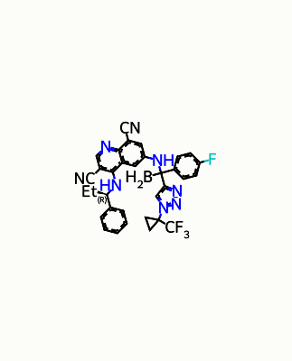 BC(Nc1cc(C#N)c2ncc(C#N)c(N[C@H](CC)c3ccccc3)c2c1)(c1ccc(F)cc1)c1cn(C2(C(F)(F)F)CC2)nn1